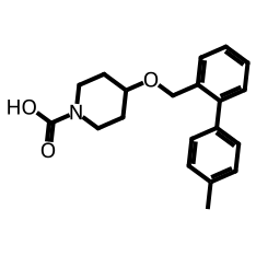 Cc1ccc(-c2ccccc2COC2CCN(C(=O)O)CC2)cc1